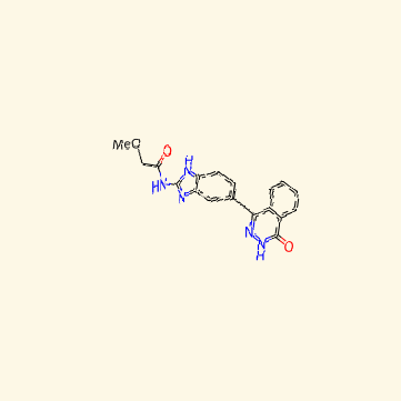 COCC(=O)Nc1nc2cc(-c3n[nH]c(=O)c4ccccc34)ccc2[nH]1